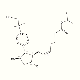 CC(C)OC(=O)CCC/C=C\C[C@@H]1[C@@H](c2ccc(C(C)(C)CO)cc2)[C@H](O)C[C@H]1Cl